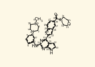 CN1CCN(c2cccc(Nc3nc(-c4cc5cc(C(=O)N6CCOCC6)ccc5s4)c4cc[nH]c4n3)c2)CC1